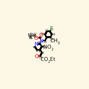 CCOC(=O)C([O-])=Cc1ccnc(N(Cc2ccc(F)cc2C)C(=O)OC(C)(C)C)c1[N+](=O)[O-].[K+]